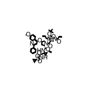 C=CCN(C(=O)OC(C)(C)C)[C@@H](CNC(=O)C=C)C(=O)N1C[C@H](Oc2cc(-c3ccccc3)nc3cc(OC)ccc23)C[C@H]1C(=O)N[C@]1(C(=O)NS(=O)(=O)C2CC2)C[C@H]1C=C